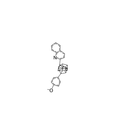 COc1ccc([C]23[CH]4[CH]5[C]6(c7ccc8ccccc8n7)[CH]2[Fe]45362789[CH]3[CH]2[CH]7[CH]8[CH]39)cc1